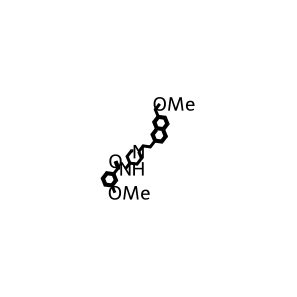 COCc1ccc2ccc(CCN3CCC(NC(=O)c4cccc(OC)c4)CC3)cc2c1